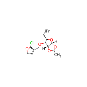 CC(C)C[C@H]1O[C@@H]2OC(C)O[C@@H]2[C@H]1OCc1ccoc1Cl